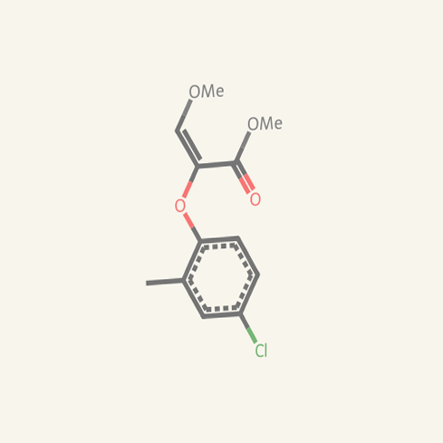 COC=C(Oc1ccc(Cl)cc1C)C(=O)OC